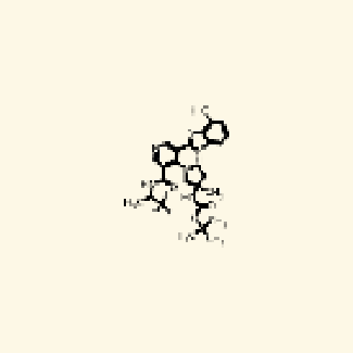 Cc1cccc2[nH]c(-c3cncc(C(=O)NC(C)C(F)(F)F)c3N3CCC(C)(NC(=O)OC(C)(C)C)C3)nc12